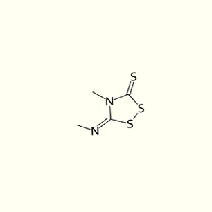 CN=c1ssc(=S)n1C